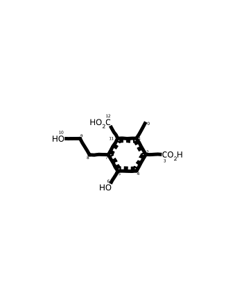 Cc1c(C(=O)O)cc(O)c(CCO)c1C(=O)O